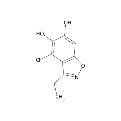 CCc1noc2cc(O)c(O)c(Cl)c12